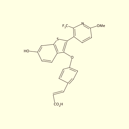 COc1ccc(-c2sc3cc(O)ccc3c2Oc2ccc(C=CC(=O)O)cc2)c(C(F)(F)F)n1